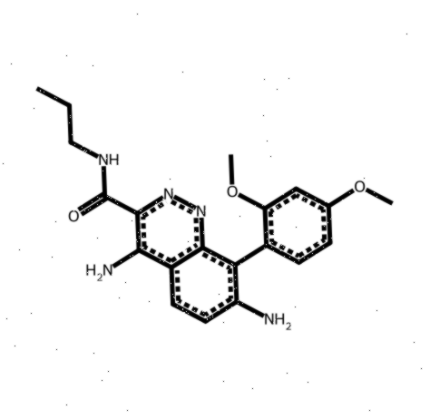 CCCNC(=O)c1nnc2c(-c3ccc(OC)cc3OC)c(N)ccc2c1N